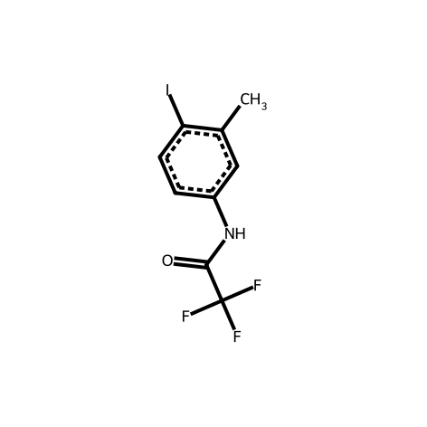 Cc1cc(NC(=O)C(F)(F)F)ccc1I